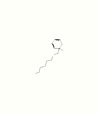 CCCCCCSCC1(C)C=CC=CC1